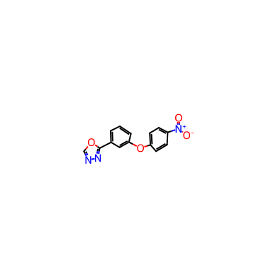 O=[N+]([O-])c1ccc(Oc2cccc(-c3nnco3)c2)cc1